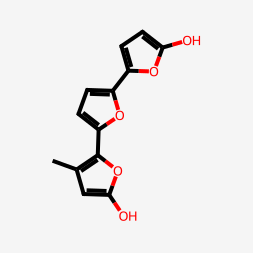 Cc1cc(O)oc1-c1ccc(-c2ccc(O)o2)o1